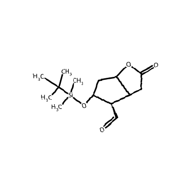 CC(C)(C)[Si](C)(C)OC1CC2OC(=O)CC2[C@H]1C=O